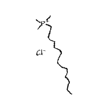 CCCCCCCCCCC[P+](C)(C)C.[Cl-]